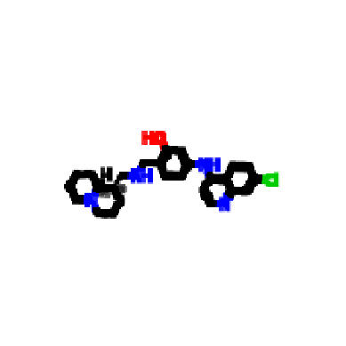 Oc1cc(Nc2ccnc3cc(Cl)ccc23)ccc1CNC[C@@H]1CCCN2CCCC[C@H]12